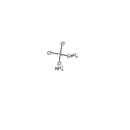 Cl[Si](Cl)(Cl)[GeH4-].[NH4+]